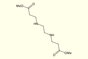 COC(=O)CCNCCNCCC(=O)OC